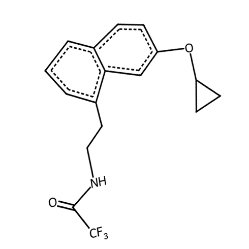 O=C(NCCc1cccc2ccc(OC3CC3)cc12)C(F)(F)F